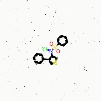 O=S(=O)(c1ccccc1)N(Cl)c1cscc1-c1ccccc1